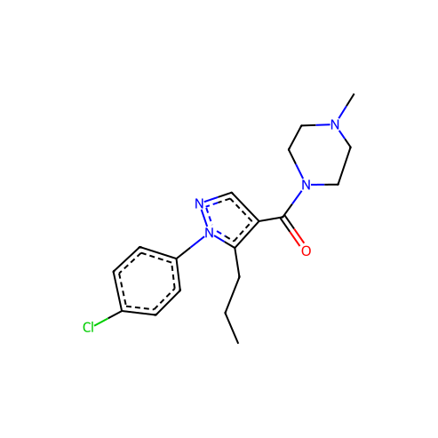 CCCc1c(C(=O)N2CCN(C)CC2)cnn1-c1ccc(Cl)cc1